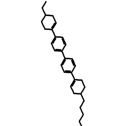 CCCCCC1CC=C(c2ccc(-c3ccc(C4=CCC(CC)CC4)cc3)cc2)CC1